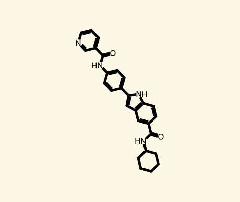 O=C(Nc1ccc(-c2cc3cc(C(=O)NC4CCCCC4)ccc3[nH]2)cc1)c1cccnc1